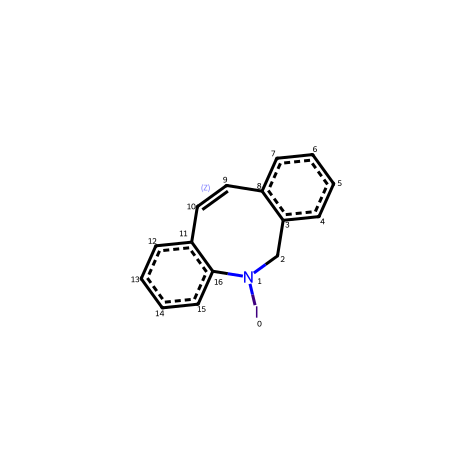 IN1Cc2ccccc2/C=C\c2ccccc21